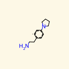 NCCc1[c]cc(N2CCCC2)cc1